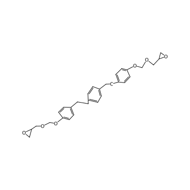 c1cc(CCc2ccc(OCOCC3CO3)cc2)ccc1CCc1ccc(OCOCC2CO2)cc1